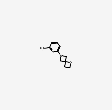 Nc1cccc(N2CC3(CCO3)C2)n1